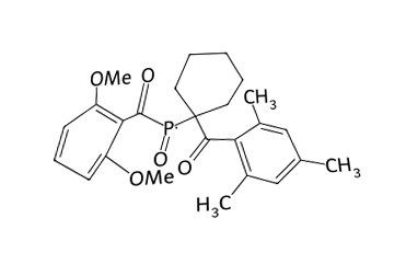 COc1cccc(OC)c1C(=O)[P](=O)C1(C(=O)c2c(C)cc(C)cc2C)CCCCC1